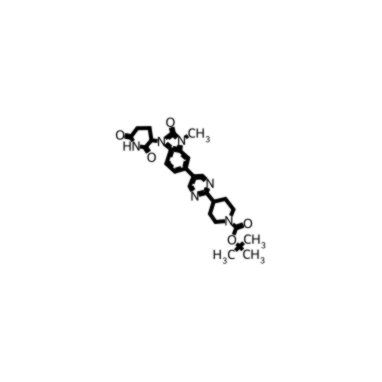 Cn1c(=O)n(C2CCC(=O)NC2=O)c2ccc(-c3cnc(C4CCN(C(=O)OC(C)(C)C)CC4)nc3)cc21